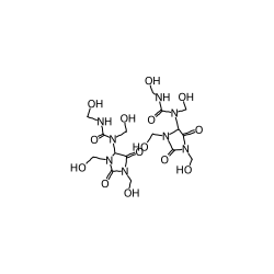 O=C1C(N(CO)C(=O)NCO)N(CO)C(=O)N1CO.O=C1C(N(CO)C(=O)NCO)N(CO)C(=O)N1CO